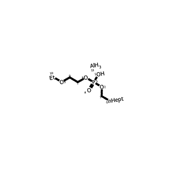 CCCCCCCCOP(=O)(O)OCCOCC.[AlH3]